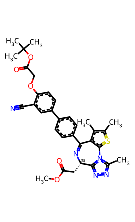 COC(=O)C[C@@H]1N=C(c2ccc(-c3ccc(OCC(=O)OC(C)(C)C)c(C#N)c3)cc2)c2c(sc(C)c2C)-n2c(C)nnc21